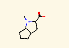 CN1C(C(=O)O)C[C@H]2CCC[C@H]21